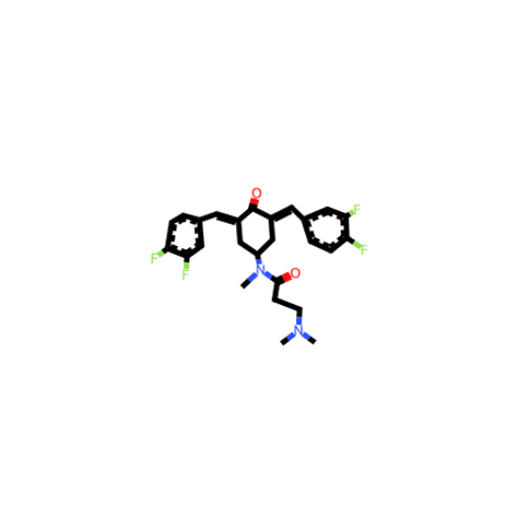 CN(C)CCC(=O)N(C)C1C/C(=C\c2ccc(F)c(F)c2)C(=O)/C(=C/c2ccc(F)c(F)c2)C1